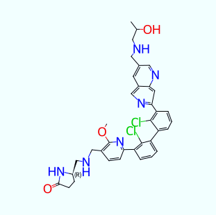 COc1nc(-c2cccc(-c3cccc(-c4cc5ncc(CNCC(C)O)cc5cn4)c3Cl)c2Cl)ccc1CNC[C@H]1CCC(=O)N1